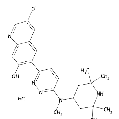 CN(c1ccc(-c2cc3cc(Cl)cnc3cc2O)nn1)C1CC(C)(C)NC(C)(C)C1.Cl